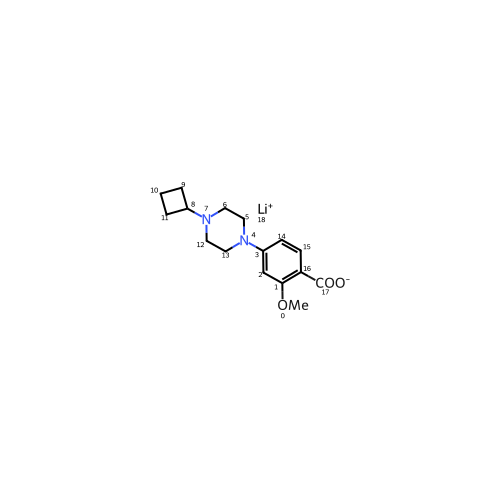 COc1cc(N2CCN(C3CCC3)CC2)ccc1C(=O)[O-].[Li+]